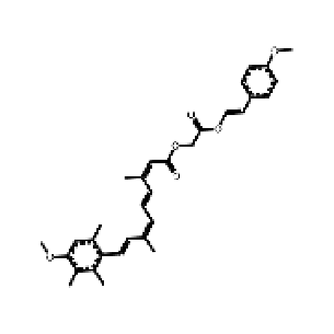 COc1ccc(C=COC(=O)COC(=O)C=C(C)C=CC=C(C)C=Cc2c(C)cc(OC)c(C)c2C)cc1